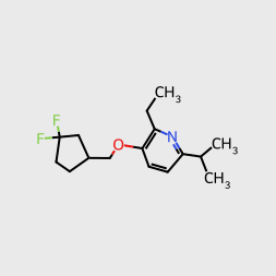 CCc1nc(C(C)C)ccc1OCC1CCC(F)(F)C1